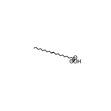 CCCCCCCCC=CCCCCCCCCS(=O)(=O)O